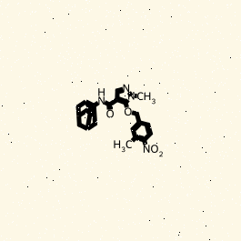 Cc1cc(COc2c(C(=O)NC3C4CC5CC(C4)CC3C5)cnn2C)ccc1[N+](=O)[O-]